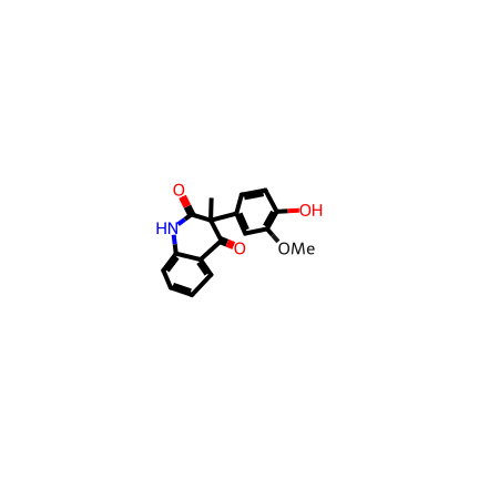 COc1cc(C2(C)C(=O)Nc3ccccc3C2=O)ccc1O